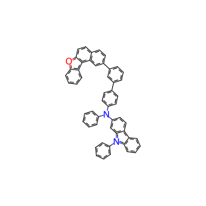 c1ccc(N(c2ccc(-c3cccc(-c4ccc5ccc6oc7ccccc7c6c5c4)c3)cc2)c2ccc3c4ccccc4n(-c4ccccc4)c3c2)cc1